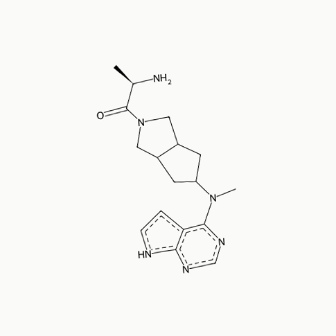 C[C@@H](N)C(=O)N1CC2CC(N(C)c3ncnc4[nH]ccc34)CC2C1